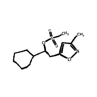 Cc1cc(CC(OS(C)(=O)=O)C2CCCCC2)on1